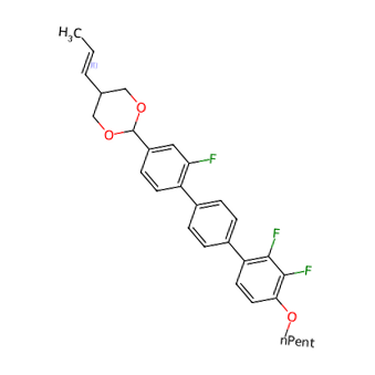 C/C=C/C1COC(c2ccc(-c3ccc(-c4ccc(OCCCCC)c(F)c4F)cc3)c(F)c2)OC1